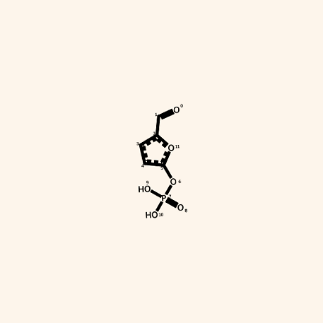 O=Cc1ccc(OP(=O)(O)O)o1